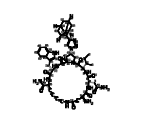 CCC(C)[C@@H]1NC(=O)[C@H](CC(N)=O)NC(=O)[C@@H](N)CC(=O)NCCCC[C@@H](C(N)=O)NC(=O)[C@H](Cc2c[nH]c3ccccc23)NC(=O)[C@@H]2C[C@H](n3cc(C4[C@H]5C[C@H]6C[C@H](C5)C[C@H]4C6)nn3)CN2C1=O